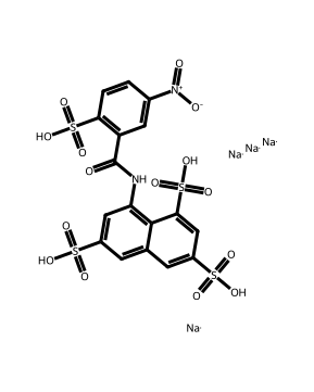 O=C(Nc1cc(S(=O)(=O)O)cc2cc(S(=O)(=O)O)cc(S(=O)(=O)O)c12)c1cc([N+](=O)[O-])ccc1S(=O)(=O)O.[Na].[Na].[Na].[Na]